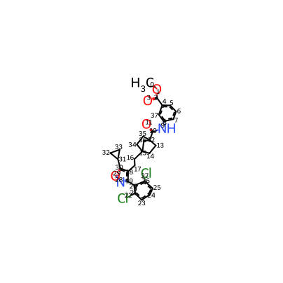 COC(=O)c1cccc(NC(=O)C23CCC(CCc4c(-c5c(Cl)cccc5Cl)noc4C4CC4)(CC2)C3)c1